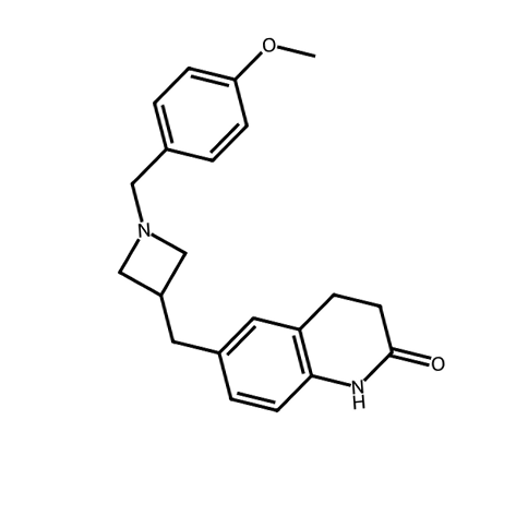 COc1ccc(CN2CC(Cc3ccc4c(c3)CCC(=O)N4)C2)cc1